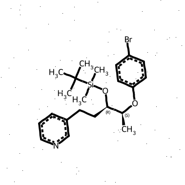 C[C@H](Oc1ccc(Br)cc1)[C@@H](CCc1cccnc1)O[Si](C)(C)C(C)(C)C